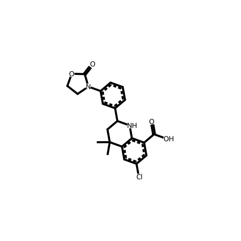 CC1(C)CC(c2cccc(N3CCOC3=O)c2)Nc2c(C(=O)O)cc(Cl)cc21